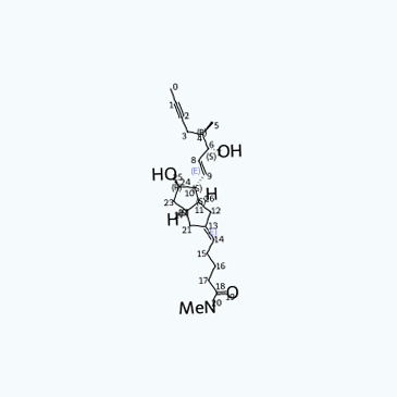 CC#CC[C@@H](C)[C@H](O)/C=C/[C@@H]1[C@H]2C/C(=C/CCCC(=O)NC)C[C@H]2C[C@H]1O